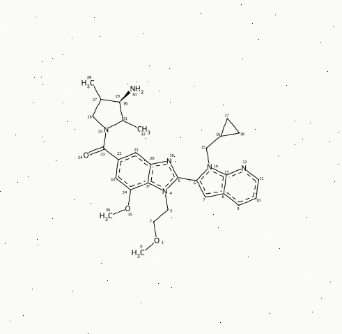 COCCn1c(-c2cc3cccnc3n2CC2CC2)nc2cc(C(=O)N3CC(C)[C@@H](N)C3C)cc(OC)c21